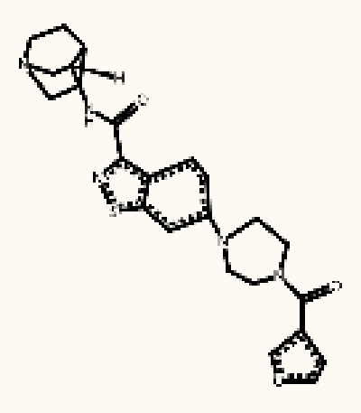 O=C(N[C@@H]1CN2CCC1CC2)c1nsc2cc(N3CCN(C(=O)c4ccoc4)CC3)ccc12